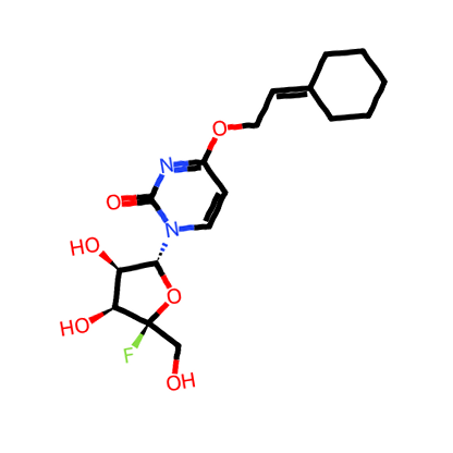 O=c1nc(OCC=C2CCCCC2)ccn1[C@@H]1O[C@](F)(CO)[C@@H](O)[C@H]1O